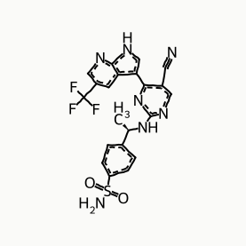 C[C@@H](Nc1ncc(C#N)c(-c2c[nH]c3ncc(C(F)(F)F)cc23)n1)c1ccc(S(N)(=O)=O)cc1